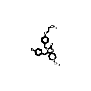 CCCOc1ccc(CN2C(=O)SC3(CCN(C)CC3)C2Cc2ccc(F)cc2)cc1